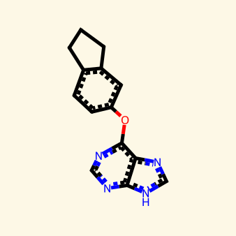 c1nc(Oc2ccc3c(c2)CCC3)c2nc[nH]c2n1